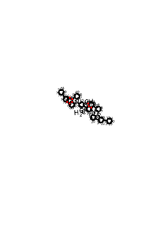 Cc1cc(N(c2ccccc2-c2ccccc2)c2cccc3c2sc2cc(-c4ccccc4)ccc23)cc(C)c1-c1c(C)cc(N(c2ccccc2-c2ccccc2)c2cccc3c2sc2cc(-c4ccccc4)ccc23)cc1C